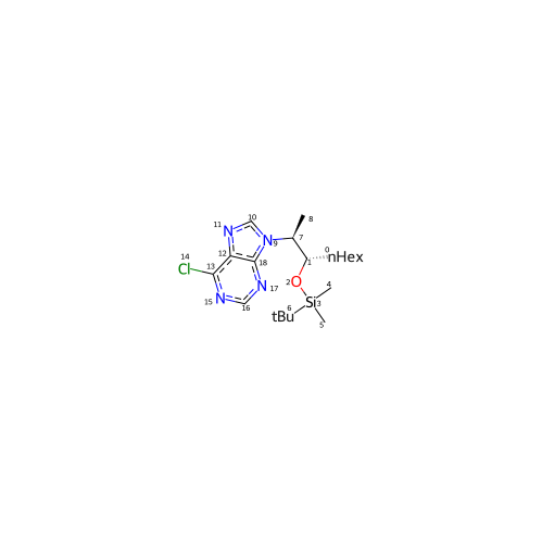 CCCCCC[C@H](O[Si](C)(C)C(C)(C)C)[C@H](C)n1cnc2c(Cl)ncnc21